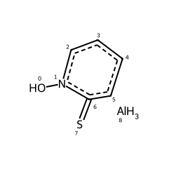 On1ccccc1=S.[AlH3]